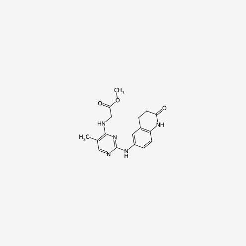 COC(=O)CNc1nc(Nc2ccc3c(c2)CCC(=O)N3)ncc1C